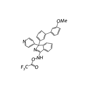 COc1cccc(-c2cccc(C3(c4ccncc4)N=C(NOC(=O)C(F)(F)F)c4ccccc43)c2)c1